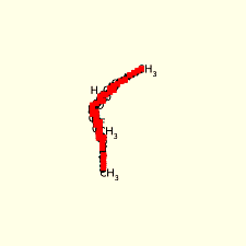 CCCCCCCCCCCCCCOc1ccc(/C=C(\C)C(=O)Oc2ccc(C(=O)Oc3ccc4ccc(OC(=O)c5ccc(OC(=O)/C(C)=C/c6ccc(OCCCCCCCCCCCCCC)cc6)c(F)c5)cc4c3)cc2F)cc1